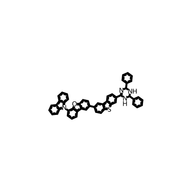 c1ccc(C2N=C(c3ccc4c(c3)sc3ccc(-c5ccc6oc7c(-n8c9ccccc9c9ccccc98)cccc7c6c5)cc34)NC(c3ccccc3)N2)cc1